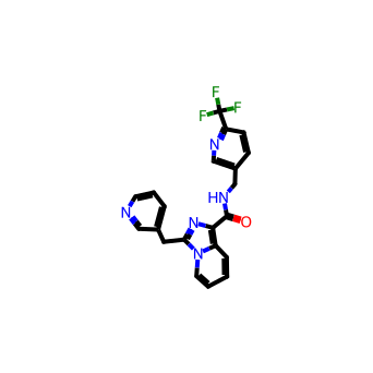 O=C(NCc1ccc(C(F)(F)F)nc1)c1nc(Cc2cccnc2)n2ccccc12